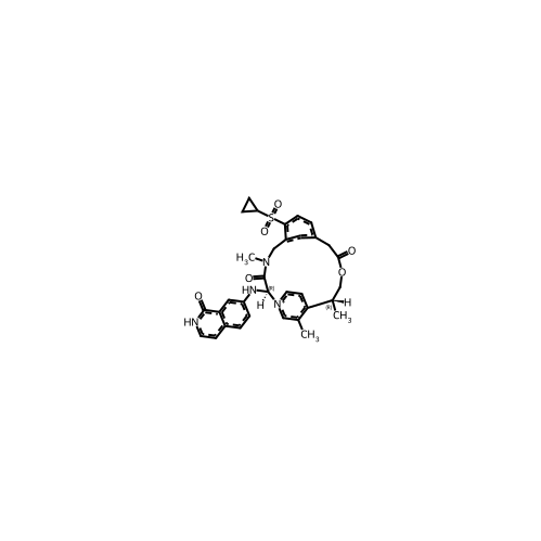 Cc1c[n+]2ccc1[C@@H](C)COC(=O)Cc1ccc(S(=O)(=O)C3CC3)c(c1)CN(C)C(=O)[C@@H]2Nc1ccc2cc[nH]c(=O)c2c1